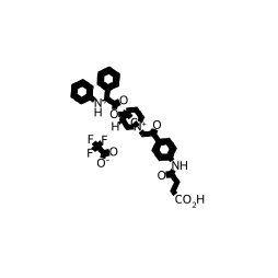 O=C(O)CCC(=O)Nc1ccc(C(=O)C[N+]23CCC(CC2)[C@@H](OC(=O)[C@H](Nc2ccccc2)c2ccccc2)C3)cc1.O=C([O-])C(F)(F)F